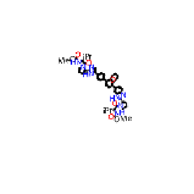 COC(=O)N[C@H](C(=O)N1CCC[C@H]1c1ncc(-c2ccc(-c3ccc(-c4ccc5nc([C@@H]6CCCN6C(=O)[C@@H](NC(=O)OC)C(C)C)[nH]c5c4)c4c3C3CCC4O3)cc2)[nH]1)C(C)C